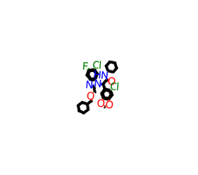 O=C(NC1CCCCC1)C(c1cc2c(cc1Cl)OCO2)n1c(COCC2CCCCC2)nc2cc(F)c(Cl)cc21